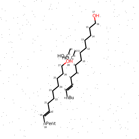 CC(=O)O.CC(=O)O.CCCCC=CCCCCCCCCCCO.CCCCCC=CCCCCCCCO